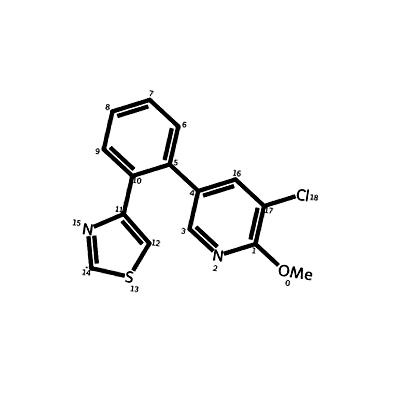 COc1ncc(-c2ccccc2-c2cs[c]n2)cc1Cl